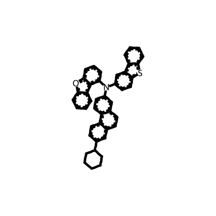 c1ccc2c(c1)oc1cccc(N(c3ccc4c(ccc5cc(C6CCCCC6)ccc54)c3)c3ccc4sc5ccccc5c4c3)c12